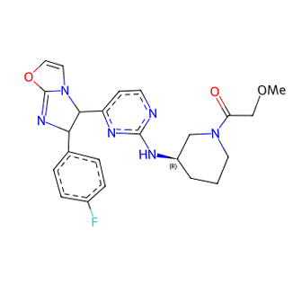 COCC(=O)N1CCC[C@@H](Nc2nccc(C3C(c4ccc(F)cc4)N=C4OC=CN43)n2)C1